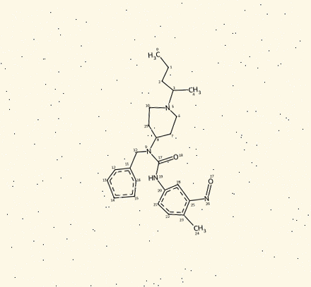 CCCC(C)N1CCC(N(Cc2ccccc2)C(=O)Nc2ccc(C)c(N=O)c2)CC1